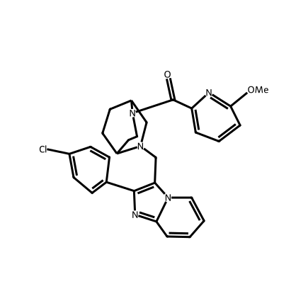 COc1cccc(C(=O)N2CCC3CCC2CN3Cc2c(-c3ccc(Cl)cc3)nc3ccccn23)n1